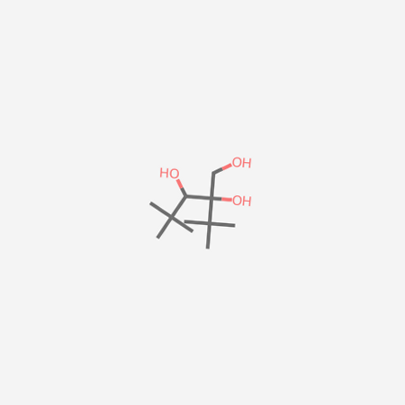 CC(C)(C)C(O)C(O)(CO)C(C)(C)C